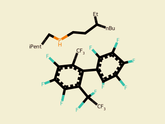 CCCCC(CC)CCPCC(C)CCC.Fc1c(F)c(F)c(-c2c(C(F)(F)F)c(F)c(F)c(F)c2C(F)(F)C(F)(F)F)c(F)c1F